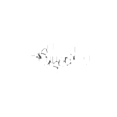 CCS(=O)(=O)c1ccc(Cl)cc1CNC(=O)c1cc(Cl)c(CN2CCC(NC(=O)O)CC2)c(C(F)(F)F)c1